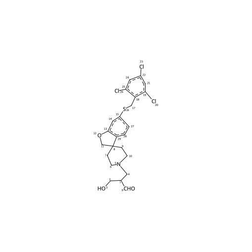 O=CC(CO)CN1CCC2(CC1)COc1cc(SCc3c(Cl)cc(Cl)cc3Cl)ccc12